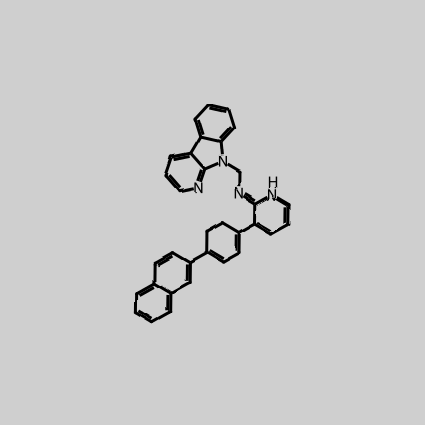 C1=C(c2ccc3ccccc3c2)CCC(c2ccc[nH]/c2=N\Cn2c3ccccc3c3cccnc32)=C1